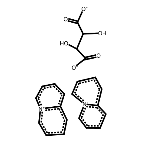 O=C([O-])C(O)C(O)C(=O)[O-].c1cc[n+]2ccccc2c1.c1cc[n+]2ccccc2c1